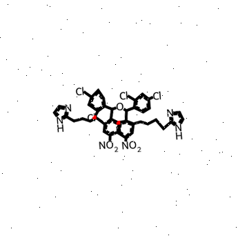 O=[N+]([O-])c1ccc(C(OC(c2ccc(Cl)cc2Cl)c2ccc([N+](=O)[O-])cc2CCCCc2ncc[nH]2)c2ccc(Cl)cc2Cl)c(CCCCc2ncc[nH]2)c1